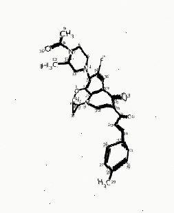 COc1c(N2CCN(C(C)=O)C(C)C2)c(F)cc2c(=O)c(C(=O)C=Cc3ccc(C)cc3)cn(C3CC3)c12